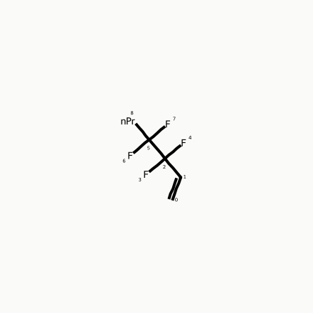 C=CC(F)(F)C(F)(F)CCC